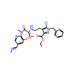 CCOC(=O)c1nn(Cc2ccccc2)c(Cl)c1CCN[C@@H]1C(=O)N(C)c2ncc(/C=N/C)cc2O[C@@H]1C